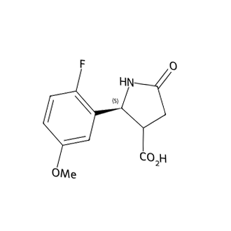 COc1ccc(F)c([C@H]2NC(=O)CC2C(=O)O)c1